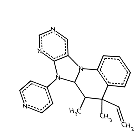 C=CC1(C)c2ccccc2N2c3cncnc3N(c3ccncc3)C2C1C